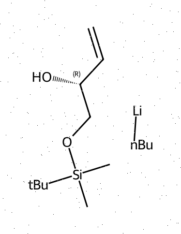 C=C[C@@H](O)CO[Si](C)(C)C(C)(C)C.[Li][CH2]CCC